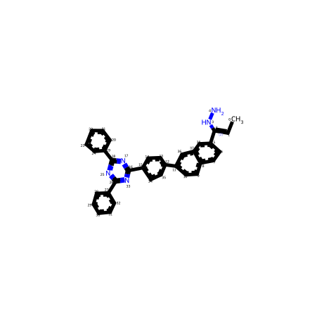 C/C=C(\NN)c1ccc2ccc(-c3ccc(-c4nc(-c5ccccc5)nc(-c5ccccc5)n4)cc3)cc2c1